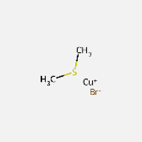 CSC.[Br-].[Cu+]